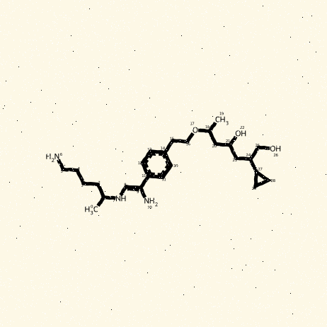 CC(CCCCN)N/C=C(\N)c1ccc(CCOC(C)CC(O)CC(CO)C2CC2)cc1